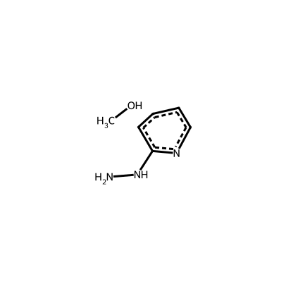 CO.NNc1ccccn1